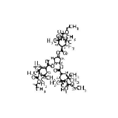 CCOC(=O)N1C(C)(C)CC(C(=O)OC2CC(OC(=O)C3CC(C)(C)N(C(=O)OCC)C(C)(C)C3)C(OC(=O)C3CC(C)(C)N(C(=O)OCC)C(C)(C)C3)C2)CC1(C)C